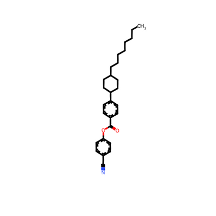 CCCCCCCCC1CCC(c2ccc(C(=O)Oc3ccc(C#N)cc3)cc2)CC1